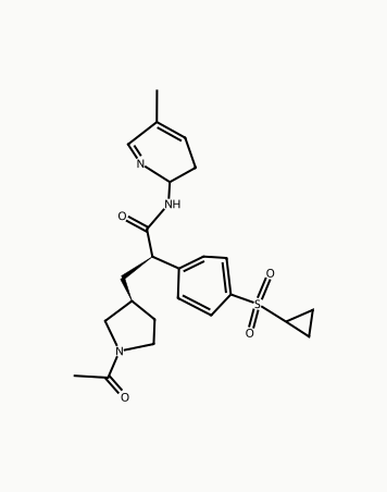 CC(=O)N1CC[C@H](C[C@@H](C(=O)NC2CC=C(C)C=N2)c2ccc(S(=O)(=O)C3CC3)cc2)C1